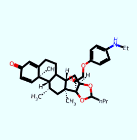 CCCC1O[C@@H]2C[C@H]3C4CCC5=CC(=O)C=C[C@]5(C)[C@H]4[C@@H](C)C[C@]3(C)[C@]2(C(=O)COc2ccc(NCC)cc2)O1